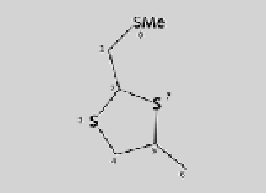 CSCC1SCC(C)S1